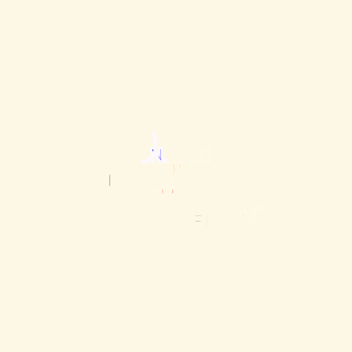 CC[C@H]1O[C@@H](C)C[C@H]1O[P@]1O[C@@](C)(c2ccccc2)[C@H]2CCCN21